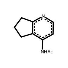 CC(=O)Nc1ccnc2c1CCC2